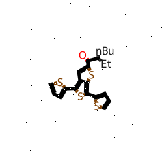 CCCCC(CC)C(=O)c1cc2c(-c3cccs3)sc(-c3cccs3)c2s1